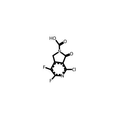 O=C(O)N1Cc2c(F)c(F)nc(Cl)c2C1=O